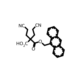 N#CCCC(CCC#N)(C(=O)O)C(=O)OCc1c2ccccc2cc2ccccc12